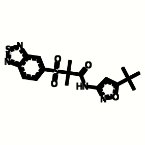 CC(C)(C)c1cc(NC(=O)C(C)(C)S(=O)(=O)c2ccc3nsnc3c2)no1